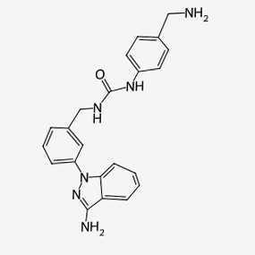 NCc1ccc(NC(=O)NCc2cccc(-n3nc(N)c4ccccc43)c2)cc1